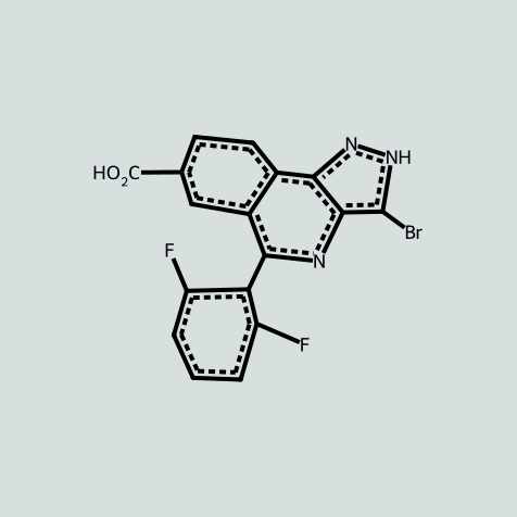 O=C(O)c1ccc2c(c1)c(-c1c(F)cccc1F)nc1c(Br)[nH]nc12